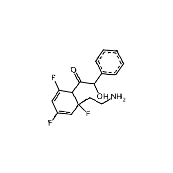 NCCC1(F)C=C(F)C=C(F)C1C(=O)C(O)c1ccccc1